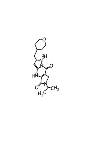 [2H]N1C(CC2CCOCC2)C=C2NC3=C(CN(C(C)C)C3=O)C(=O)N21